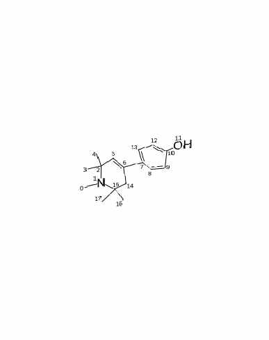 CN1C(C)(C)C=C(c2ccc(O)cc2)CC1(C)C